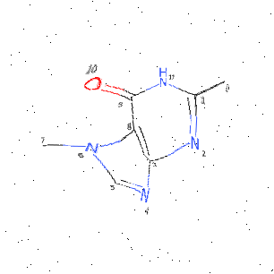 Cc1nc2ncn(C)c2c(=O)[nH]1